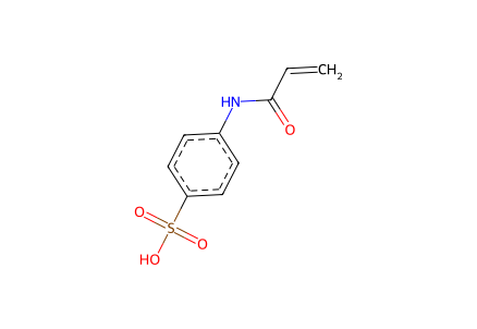 C=CC(=O)Nc1ccc(S(=O)(=O)O)cc1